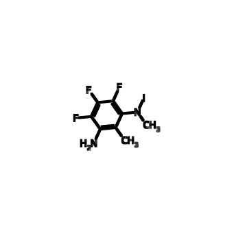 Cc1c(N)c(F)c(F)c(F)c1N(C)I